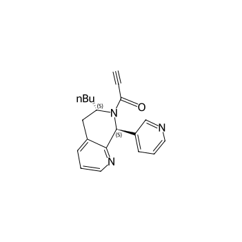 C#CC(=O)N1[C@@H](CCCC)Cc2cccnc2[C@@H]1c1cccnc1